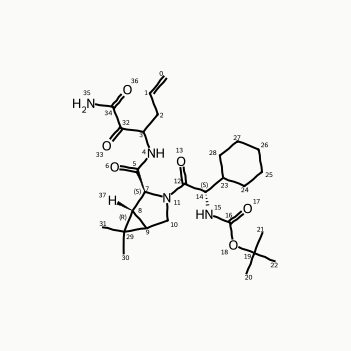 C=CCC(NC(=O)[C@@H]1[C@@H]2C(CN1C(=O)[C@@H](NC(=O)OC(C)(C)C)C1CCCCC1)C2(C)C)C(=O)C(N)=O